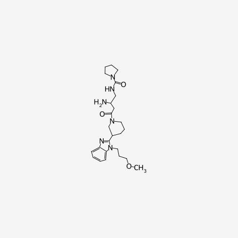 COCCCn1c(C2CCCN(C(=O)CC(N)CNC(=O)N3CCCC3)C2)nc2ccccc21